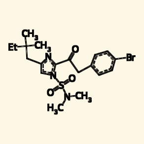 CCC(C)(C)Cc1cn(S(=O)(=O)N(C)C)c(C(=O)Cc2ccc(Br)cc2)n1